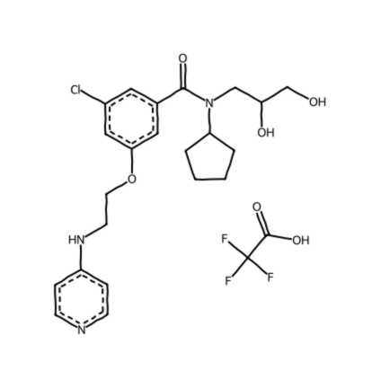 O=C(O)C(F)(F)F.O=C(c1cc(Cl)cc(OCCNc2ccncc2)c1)N(CC(O)CO)C1CCCC1